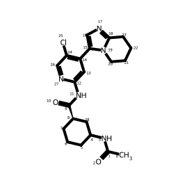 CC(=O)NC1CCC[C@@H](C(=O)Nc2cc(-c3cnc4n3CCCC4)c(Cl)cn2)C1